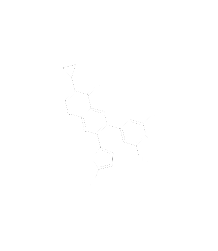 Cc1cc(-c2nc3c(=O)c(C4CC4)c[nH]c3nc2-c2ccc(C)o2)cc(Cl)n1